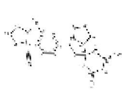 N#CC1(c2ccc(CCC3(C4CCCC4)CC(=O)CC(=O)O3)cc2F)CCCC1